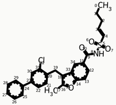 CCCC=CS(=O)(=O)NC(=O)c1ccc2oc(C)c(Cc3ccc(-c4ccccc4)cc3Cl)c2c1